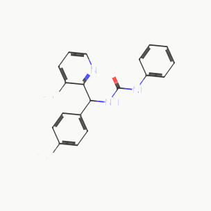 O=C(Nc1ccccc1)NC(c1ccc(C(F)(F)F)cc1)c1ncccc1C(F)(F)F